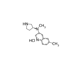 Cc1ccc2ncc(N(C)[C@H]3CCNC3)cc2c1.Cl